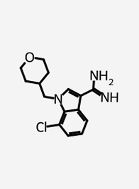 N=C(N)c1cn(CC2CCOCC2)c2c(Cl)cccc12